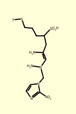 N/C(=C\N(N)Cn1ccnc1[N+](=O)[O-])CC(CCCSF)S(=O)(=O)O